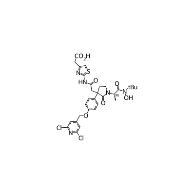 C[C@H](C(=O)N(O)C(C)(C)C)N1CCC(CC(=O)Nc2nc(CC(=O)O)cs2)(c2ccc(OCc3cc(Cl)nc(Cl)c3)cc2)C1=O